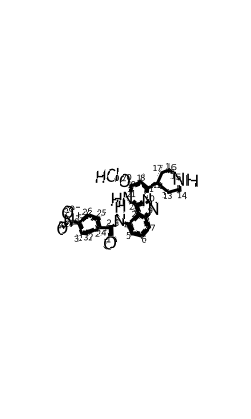 Cl.O=C(Nc1cccc2nn3c(C4CCNCC4)cc(=O)[nH]c3c12)c1ccc([N+](=O)[O-])cc1